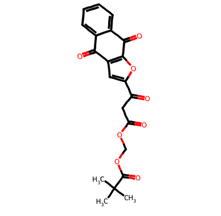 CC(C)(C)C(=O)OCOC(=O)CC(=O)c1cc2c(o1)C(=O)c1ccccc1C2=O